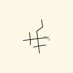 CCCC(P)(C(C)(C)C)C(C)(C)C